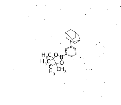 CC1(C)OB(c2cccc(C34CC5CC(CC(C5)C3)C4)c2)OC1(C)C